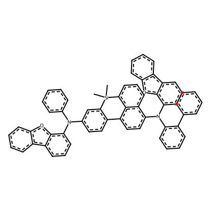 C[Si]1(C)c2cc(N(c3ccccc3)c3cccc4c3oc3ccccc34)ccc2-c2ccc(N(c3ccccc3-c3ccccc3)c3cccc4c3oc3ccccc34)c3cccc1c23